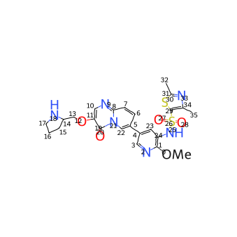 COc1ncc(-c2ccc3ncc(OCC4CCCN4)c(=O)n3c2)cc1NS(=O)(=O)c1sc(C)nc1C